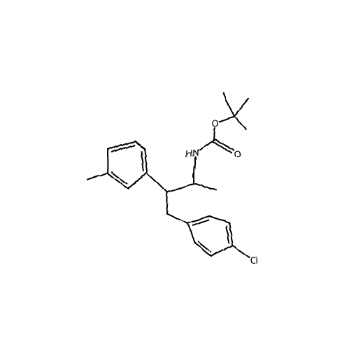 Cc1cccc(C(Cc2ccc(Cl)cc2)C(C)NC(=O)OC(C)(C)C)c1